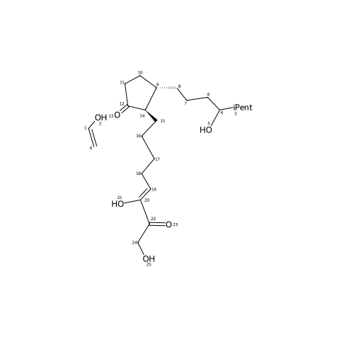 C=CO.CCCC(C)C(O)CCC[C@H]1CCC(=O)[C@@H]1CCCCC=C(O)C(=O)CO